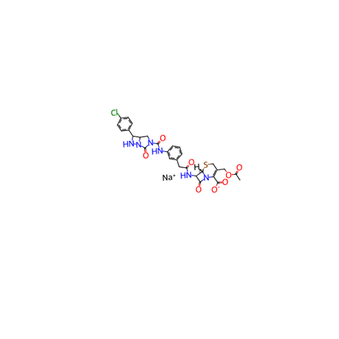 CC(=O)OCC1=C(C(=O)[O-])N2C(=O)C(NC(=O)Cc3cccc(NC(=O)N4CC5C(c6ccc(Cl)cc6)NN5C4=O)c3)[C@@H]2SC1.[Na+]